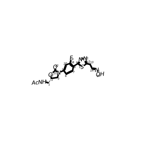 CC(=O)NC[C@H]1CN(c2ccc(-c3nnc(C/C=N/O)s3)c(F)c2)C(=O)O1